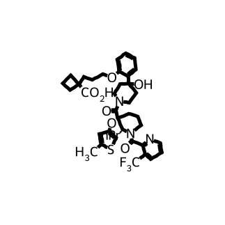 CCC[C@H]1N(C(=O)c2ncccc2C(F)(F)F)CCC[C@@]1(Oc1csc(C)c1)C(=O)N1CCC(O)(c2ccccc2OCCCC2(C(=O)O)CCC2)CC1